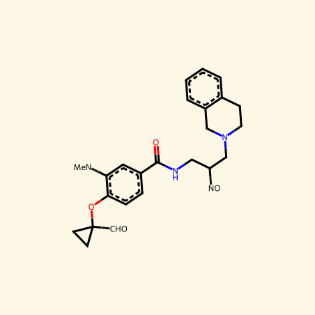 CNc1cc(C(=O)NCC(CN2CCc3ccccc3C2)N=O)ccc1OC1(C=O)CC1